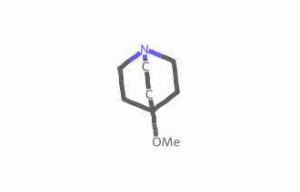 COC12CCN(CC1)CC2